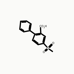 CS(=O)(=O)c1ccc(-c2ccccc2)c(C(=O)O)c1